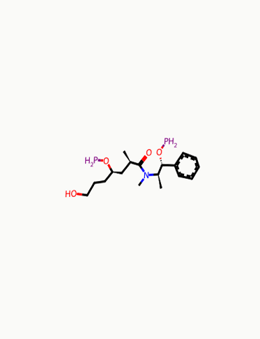 C[C@H](C[C@@H](CCCO)OP)C(=O)N(C)[C@H](C)[C@H](OP)c1ccccc1